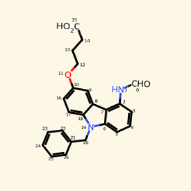 O=CNc1cccc2c1c1cc(OCCCC(=O)O)ccc1n2Cc1ccccc1